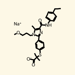 CCc1ccc(NC(=O)c2nc(-c3ccc(SC(C)(C)C(=O)[O-])cc3)n(CCCOC)c2C)cc1.[Na+]